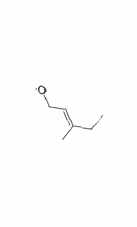 CCC(C)=CC[O]